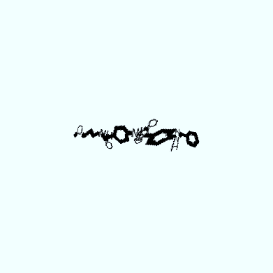 COCCCNC(=O)C1CCC(NS(=O)(=O)c2ccc3[nH]c(-c4ccccc4)nc3c2)CC1